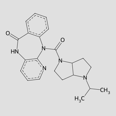 CC(C)N1CCC2C1CCN2C(=O)N1c2ccccc2C(=O)Nc2cccnc21